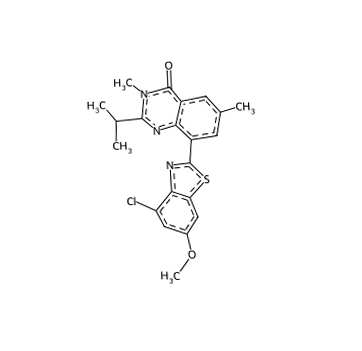 COc1cc(Cl)c2nc(-c3cc(C)cc4c(=O)n(C)c(C(C)C)nc34)sc2c1